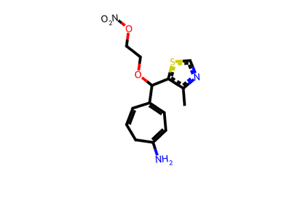 Cc1ncsc1C(OCCO[N+](=O)[O-])C1=CC=C(N)CC=C1